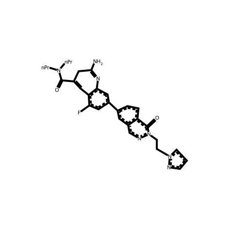 CCCN(CCC)C(=O)C1=Cc2c(F)cc(-c3ccc4c(=O)n(CCn5cccn5)ncc4c3)cc2N=C(N)C1